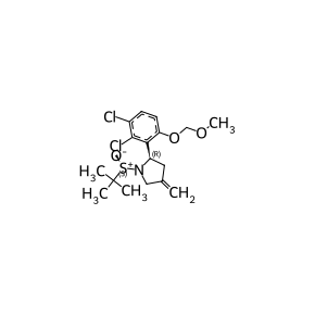 C=C1C[C@H](c2c(OCOC)ccc(Cl)c2Cl)N([S@+]([O-])C(C)(C)C)C1